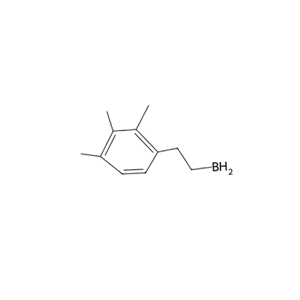 BCCc1ccc(C)c(C)c1C